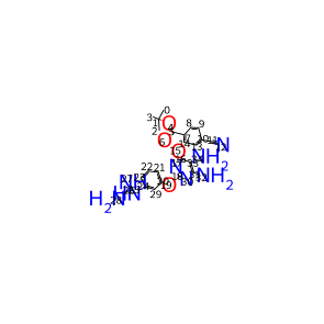 CC(C)(C)OC(=O)c1ccc(C#N)cc1Oc1nc(Oc2cccc(NC(=N)N)c2)nc(N)c1N